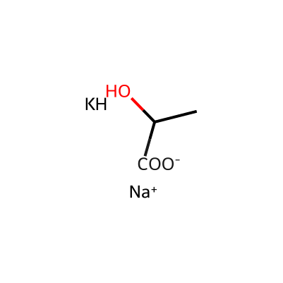 CC(O)C(=O)[O-].[KH].[Na+]